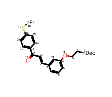 CCCCCCCCCCCCOc1cccc(C=CC(=O)c2ccc(SCCC)cc2)c1